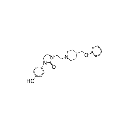 O=C1N(CCN2CCC(COc3ccccc3)CC2)CCN1c1ccc(O)cc1